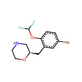 FC(F)Oc1ccc(Br)cc1C[C@@H]1CNCCO1